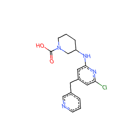 O=C(O)N1CCCC(Nc2cc(Cc3cccnc3)cc(Cl)n2)C1